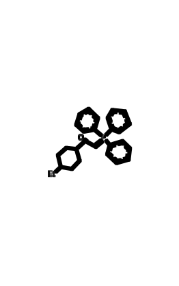 CCC1CCC(C(=O)C=P(c2ccccc2)(c2ccccc2)c2ccccc2)CC1